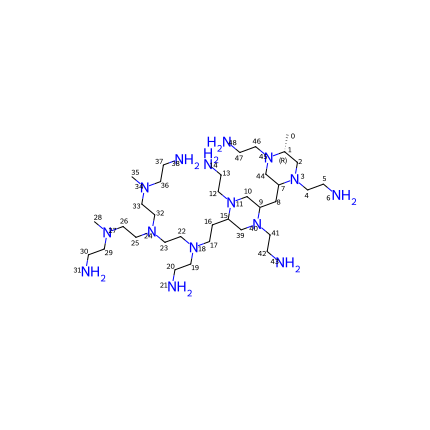 C[C@@H]1CN(CCN)C(CC2CN(CCN)C(CCN(CCN)CCN(CCN(C)CCN)CCN(C)CCN)CN2CCN)CN1CCN